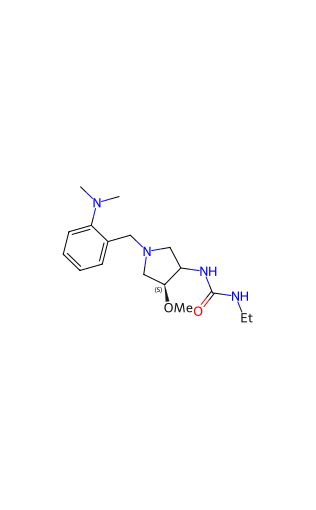 CCNC(=O)NC1CN(Cc2ccccc2N(C)C)C[C@@H]1OC